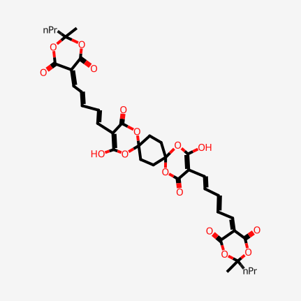 CCCC1(C)OC(=O)C(=C/C=C/C=C/C2=C(O)OC3(CCC4(CC3)OC(=O)C(/C=C/C=C/C=C3C(=O)OC(C)(CCC)OC3=O)=C(O)O4)OC2=O)C(=O)O1